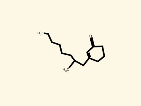 CCCCCCC(C)CC1=CC(=O)CCC1